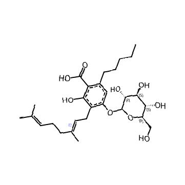 CCCCCc1cc(OC2O[C@H](CO)[C@@H](O)[C@H](O)[C@H]2O)c(C/C=C(\C)CCC=C(C)C)c(O)c1C(=O)O